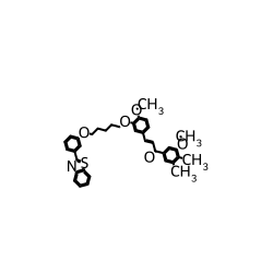 COc1ccc(/C=C/C(=O)c2cc(C)c(C)c(OC)c2)cc1OCCCCCOc1cccc(-c2nc3ccccc3s2)c1